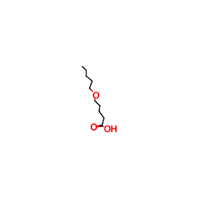 CCCCCOCCCCC(=O)O